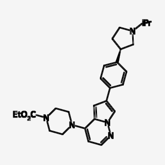 CCOC(=O)N1CCN(c2ccnn3cc(-c4ccc([C@H]5CCN(C(C)C)C5)cc4)cc23)CC1